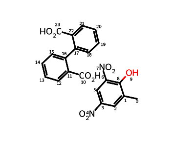 Cc1cc([N+](=O)[O-])cc([N+](=O)[O-])c1O.O=C(O)c1ccccc1-c1ccccc1C(=O)O